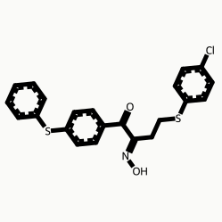 O=C(/C(CCSc1ccc(Cl)cc1)=N/O)c1ccc(Sc2ccccc2)cc1